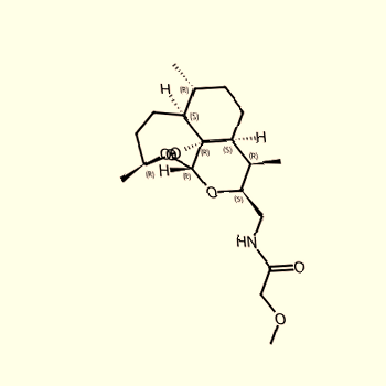 COCC(=O)NC[C@H]1O[C@@H]2O[C@@]3(C)CC[C@H]4[C@H](C)CC[C@@H]([C@H]1C)[C@@]24OO3